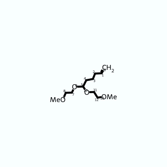 C=CCCCC(OCCOC)OCCOC